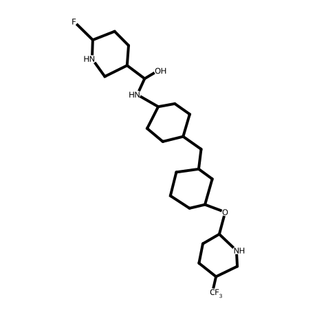 OC(NC1CCC(CC2CCCC(OC3CCC(C(F)(F)F)CN3)C2)CC1)C1CCC(F)NC1